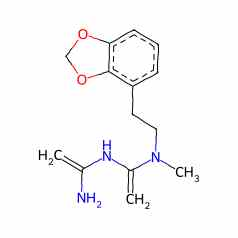 C=C(N)NC(=C)N(C)CCc1cccc2c1OCO2